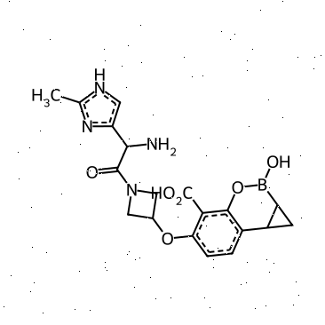 Cc1nc(C(N)C(=O)N2CC(Oc3ccc4c(c3C(=O)O)OB(O)C3CC43)C2)c[nH]1